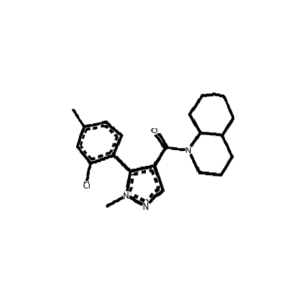 Cc1ccc(-c2c(C(=O)N3CCCC4CCCCC43)cnn2C)c(Cl)c1